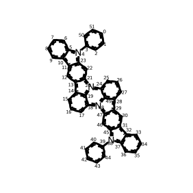 c1ccc(-n2c3ccccc3c3cc4c5cccc6c5n(c4cc32)c2cccc3c4cc5c7ccccc7n(-c7ccccc7)c5cc4n6c32)cc1